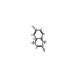 Cc1ccc2nc(I)cnc2c1